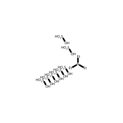 CCN(CC)CC.O=S(=O)(O)O.O=S(=O)(O)O.O=S(=O)(O)O.O=S(=O)(O)O.O=S(=O)(O)O.O=S(=O)(O)O.O=S(=O)(O)O.O=S(=O)(O)O